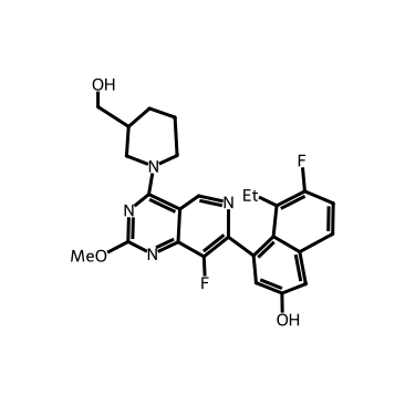 CCc1c(F)ccc2cc(O)cc(-c3ncc4c(N5CCCC(CO)C5)nc(OC)nc4c3F)c12